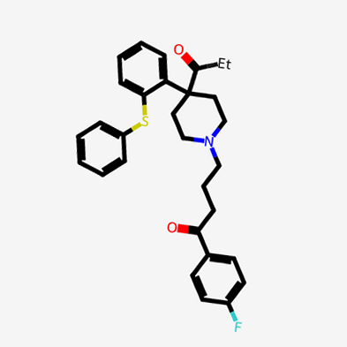 CCC(=O)C1(c2ccccc2Sc2ccccc2)CCN(CCCC(=O)c2ccc(F)cc2)CC1